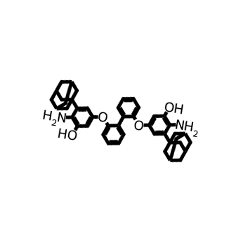 Nc1c(O)cc(Oc2ccccc2-c2ccccc2Oc2cc(O)c(N)c(C34CC5CC(CC(C5)C3)C4)c2)cc1C12CC3CC(CC(C3)C1)C2